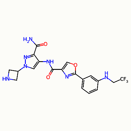 NC(=O)c1nn(C2CNC2)cc1NC(=O)c1coc(-c2cccc(NCC(F)(F)F)c2)n1